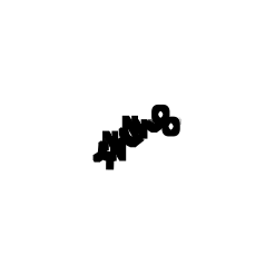 COC(=O)CC[n+]1ccc(-c2ncc(C)c(C)n2)cn1